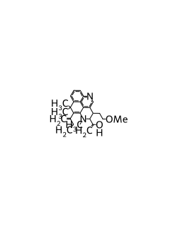 C=CC(=C)C1=C2c3c(cnc4cccc(c34)C1(C)C)C(CCOC)C(C(=C)O)N2C